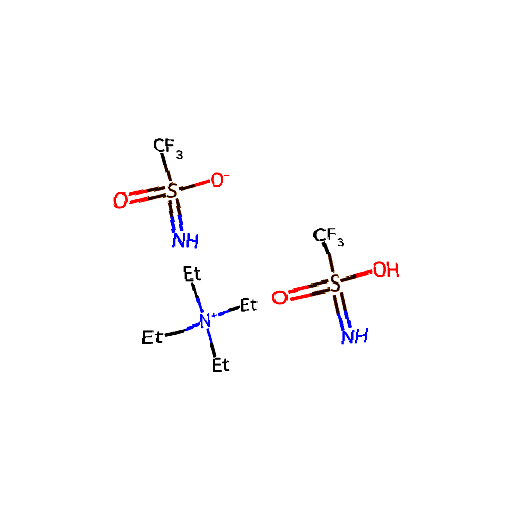 CC[N+](CC)(CC)CC.N=S(=O)(O)C(F)(F)F.N=S(=O)([O-])C(F)(F)F